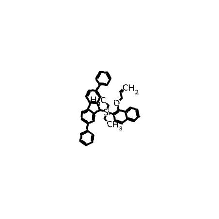 C=CCOc1c([Si](CC)(CC)C2c3cc(-c4ccccc4)ccc3-c3ccc(-c4ccccc4)cc32)ccc2ccccc12